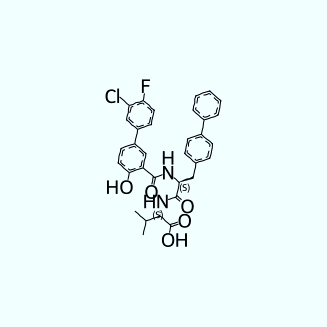 CC(C)[C@H](NC(=O)[C@H](Cc1ccc(-c2ccccc2)cc1)NC(=O)c1cc(-c2ccc(F)c(Cl)c2)ccc1O)C(=O)O